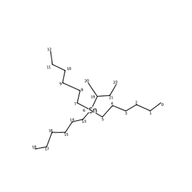 CCCCC[CH2][Sn]([CH2]CCCCC)([CH2]CCCCC)[CH](C)CC